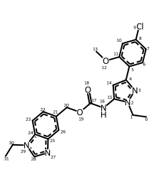 CCn1nc(-c2ccc(Cl)cc2OC)cc1NC(=O)OCc1ccc2c(c1)ncn2CC